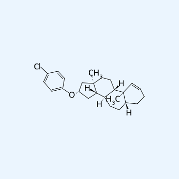 C[C@]12CC[C@H]3[C@@H](CC[C@H]4CCC=C[C@@]43C)[C@@H]1C[C@H](Oc1ccc(Cl)cc1)C2